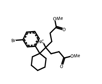 COC(=O)CCC(C#N)(CCC(=O)OC)C1(c2cccc(Br)c2)CCCCC1